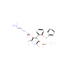 COC(=O)OC1=C(C)NC(C)=C(OC(=O)NCCCN(C)C)C1c1ccccc1OCc1ccccc1